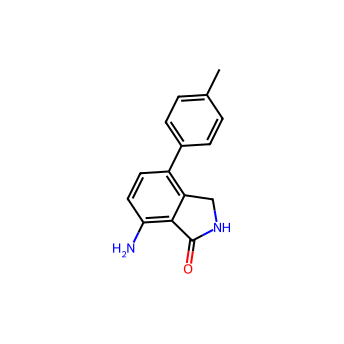 Cc1ccc(-c2ccc(N)c3c2CNC3=O)cc1